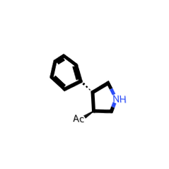 CC(=O)[C@@H]1CNC[C@H]1c1ccccc1